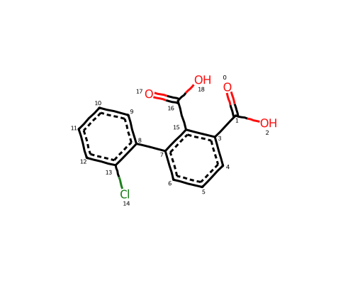 O=C(O)c1cccc(-c2ccccc2Cl)c1C(=O)O